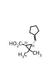 CC1(C)[C@@H](C=C2CCCC2)[C@@H]1C(=O)O